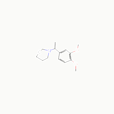 COc1ccc(C(C)N2CC[CH]CC2)cc1OC